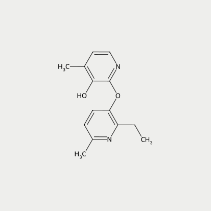 CCc1nc(C)ccc1Oc1nccc(C)c1O